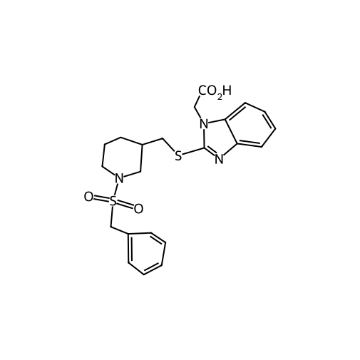 O=C(O)Cn1c(SCC2CCCN(S(=O)(=O)Cc3ccccc3)C2)nc2ccccc21